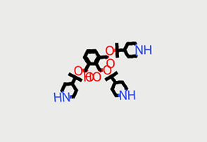 CC(C)(OC(=O)c1cccc(C(=O)OC(C)(C)C2CCNCC2)c1C(O)OC(C)(C)C1CCNCC1)C1CCNCC1